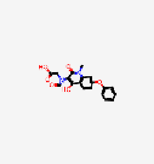 Cn1c(=O)c(N(C=O)CC(=O)O)c(O)c2ccc(Oc3ccccc3)cc21